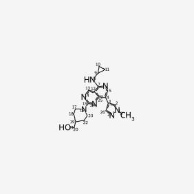 Cn1cc(-c2cnc(NC3CC3)c3cnc(N4CCC(CO)CC4)nc23)cn1